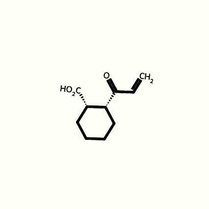 C=CC(=O)[C@@H]1CCCC[C@@H]1C(=O)O